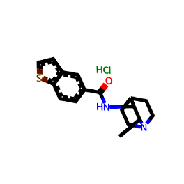 CC1C(NC(=O)c2ccc3sccc3c2)C2CCN1CC2.Cl